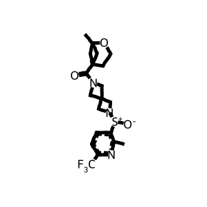 Cc1nc(C(F)(F)F)ccc1[S+]([O-])N1CC2(CN(C(=O)C34CCOC(C)(C3)C4)C2)C1